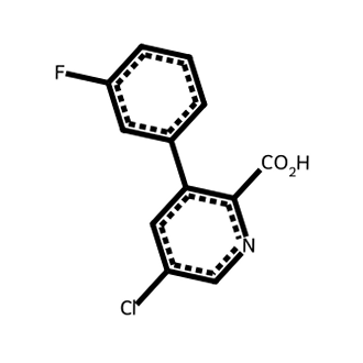 O=C(O)c1ncc(Cl)cc1-c1cccc(F)c1